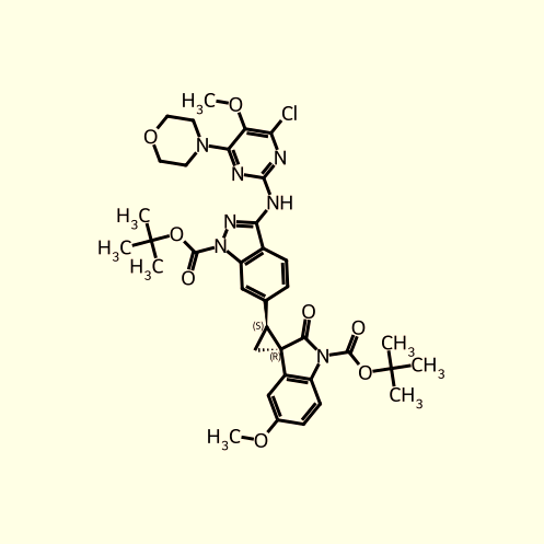 COc1ccc2c(c1)[C@]1(C[C@H]1c1ccc3c(Nc4nc(Cl)c(OC)c(N5CCOCC5)n4)nn(C(=O)OC(C)(C)C)c3c1)C(=O)N2C(=O)OC(C)(C)C